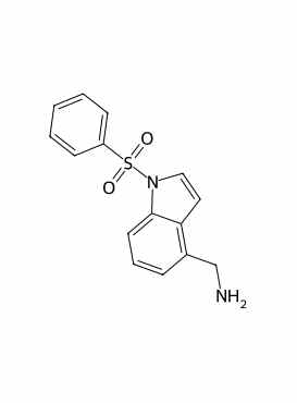 NCc1cccc2c1ccn2S(=O)(=O)c1ccccc1